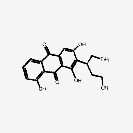 O=C1c2cccc(O)c2C(=O)c2c1cc(O)c([C@@H](CO)CCO)c2O